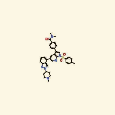 Cc1ccc(S(=O)(=O)n2cc(-c3ccc(C(=O)N(C)C)cc3)c3cc(-c4cccc5nn(C6CCN(C)CC6)cc45)cnc32)cc1